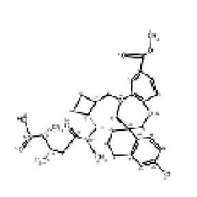 COC(=O)c1ccc2c(c1)N(C[C@@H]1CC[C@H]1CN(C)C(=O)C[C@H](C)[C@@H](C)S(=O)O)C[C@@]1(CCCc3cc(Cl)ccc31)CO2